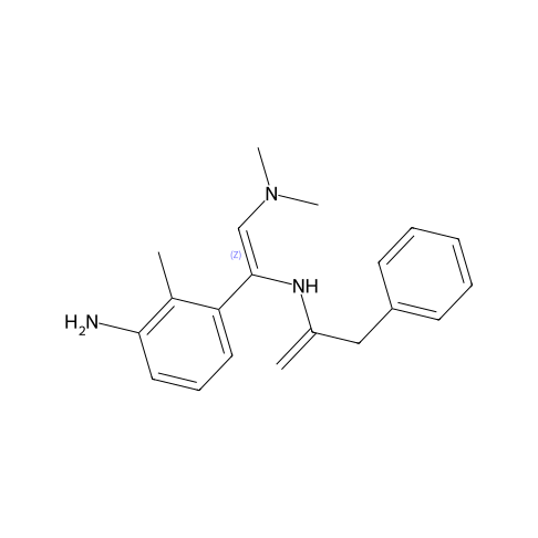 C=C(Cc1ccccc1)N/C(=C\N(C)C)c1cccc(N)c1C